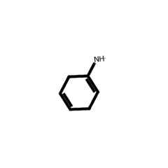 [NH]C1=CCC=CC1